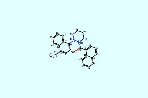 O=C(c1cccc2ccccc12)N1CCCCN1c1ccc([N+](=O)[O-])c2ccccc12